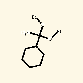 CCOC([SiH3])(OCC)C1CCCCC1